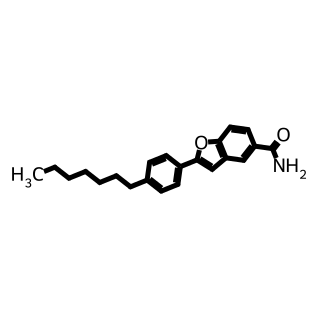 CCCCCCCc1ccc(-c2cc3cc(C(N)=O)ccc3o2)cc1